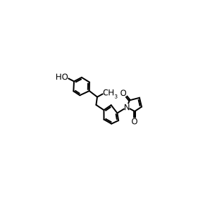 CC(Cc1cccc(N2C(=O)C=CC2=O)c1)c1ccc(O)cc1